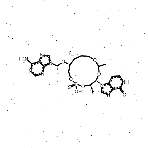 CC1OCC[C@@H](F)[C@H](O[C@H](C)n2cnc3c(N)ncnc32)COP(O)(=S)O[C@H](F)[C@H](n2cnc3c(=O)[nH]ccc32)O1